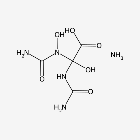 N.NC(=O)NC(O)(C(=O)O)N(O)C(N)=O